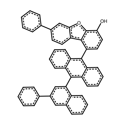 Oc1ccc(-c2c3ccccc3c(-c3cc(-c4ccccc4)cc4ccccc34)c3ccccc23)c2c1oc1cc(-c3ccccc3)ccc12